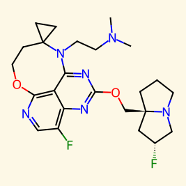 CN(C)CCN1c2nc(OC[C@@]34CCCN3C[C@H](F)C4)nc3c(F)cnc(c23)OCCC12CC2